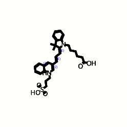 C=c1cccc/c1=C/C(=C\NCCCS(=O)(=O)O)/C=C/C=C1/N(CCCCCC(=O)O)c2ccccc2C1(C)C